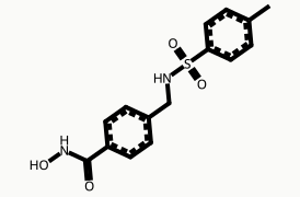 Cc1ccc(S(=O)(=O)NCc2ccc(C(=O)NO)cc2)cc1